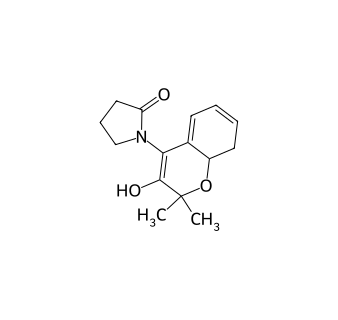 CC1(C)OC2CC=CC=C2C(N2CCCC2=O)=C1O